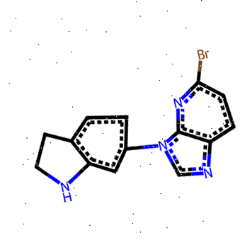 Brc1ccc2ncn(-c3ccc4c(c3)NCC4)c2n1